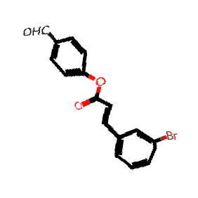 O=Cc1ccc(OC(=O)/C=C/c2cccc(Br)c2)cc1